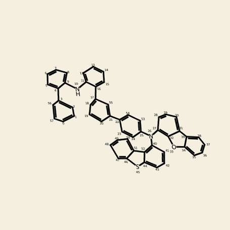 c1ccc(-c2ccccc2Nc2ccccc2-c2cccc(-c3ccc(N(c4cccc5c4oc4ccccc45)c4cccc5sc6ccccc6c45)cc3)c2)cc1